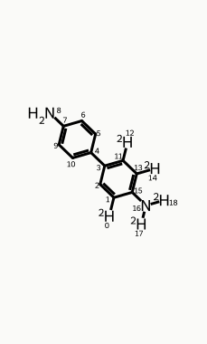 [2H]c1cc(-c2ccc(N)cc2)c([2H])c([2H])c1N([2H])[2H]